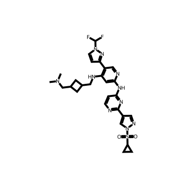 CN(C)CC1CC(CNc2cc(Nc3ccnc(-c4cnn(S(=O)(=O)C5CC5)c4)n3)ncc2-c2ccn(C(F)F)n2)C1